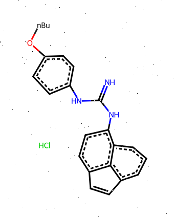 CCCCOc1ccc(NC(=N)Nc2ccc3c4c(cccc24)C=C3)cc1.Cl